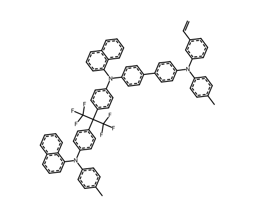 C=Cc1cccc(N(c2ccc(C)cc2)c2ccc(-c3ccc(N(c4ccc(C(c5ccc(N(c6ccc(C)cc6)c6cccc7ccccc67)cc5)(C(F)(F)F)C(F)(F)F)cc4)c4cccc5ccccc45)cc3)cc2)c1